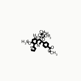 COC(=O)c1ccc(C(C#N)(Cc2ccc(OC)c(-c3cccs3)c2)O[Si](C)(C)C(C)(C)C)cc1